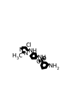 Cc1ncc(Cl)c(Nc2cccc(NS(=O)(=O)c3cccc(N)c3)c2)n1